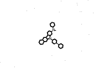 CN(c1ccccc1)c1ccc2c3cc4ccccc4cc3n(-c3ccc(-c4ccccc4)cc3)c2c1